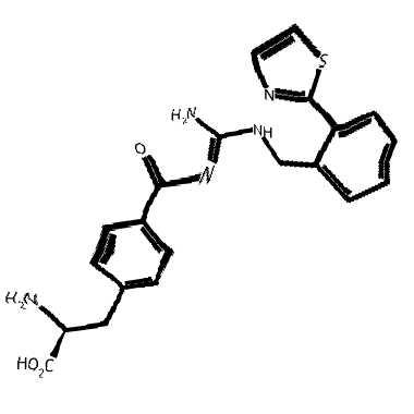 N/C(=N\C(=O)c1ccc(C[C@H](N)C(=O)O)cc1)NCc1ccccc1-c1nccs1